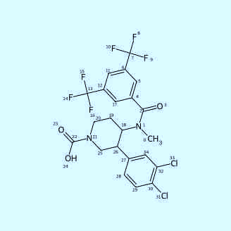 CN(C(=O)c1cc(C(F)(F)F)cc(C(F)(F)F)c1)C1CCN(C(=O)O)CC1c1ccc(Cl)c(Cl)c1